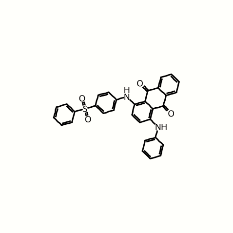 O=C1c2ccccc2C(=O)c2c(Nc3ccc(S(=O)(=O)c4ccccc4)cc3)ccc(Nc3ccccc3)c21